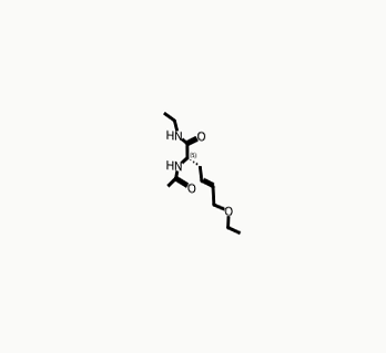 CCNC(=O)[C@H](CC=CCOCC)NC(C)=O